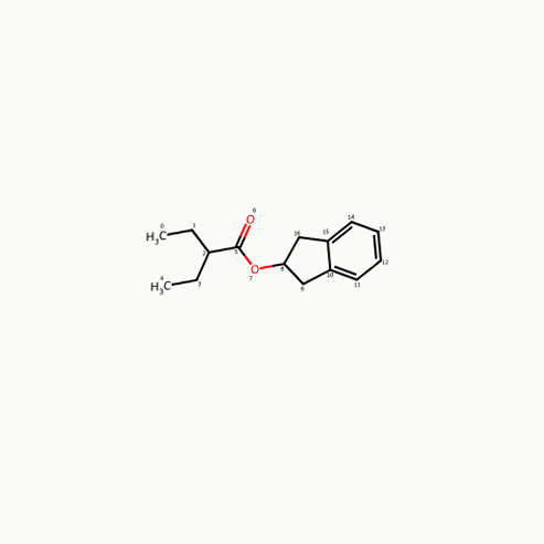 CCC(CC)C(=O)OC1Cc2ccccc2C1